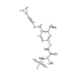 COc1cc(CNC(=O)C(NS(C)(=O)=O)C(C)C)ccc1OCC#CC1CC1